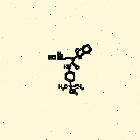 CC(C)(C)c1ccc(NC(=O)N(CCN)c2nc3ccccc3o2)cc1.Cl